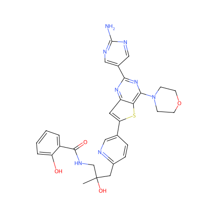 CC(O)(CNC(=O)c1ccccc1O)Cc1ccc(-c2cc3nc(-c4cnc(N)nc4)nc(N4CCOCC4)c3s2)cn1